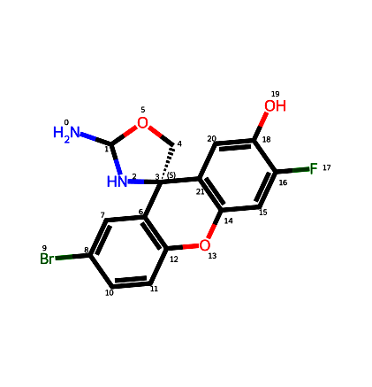 NC1N[C@]2(CO1)c1cc(Br)ccc1Oc1cc(F)c(O)cc12